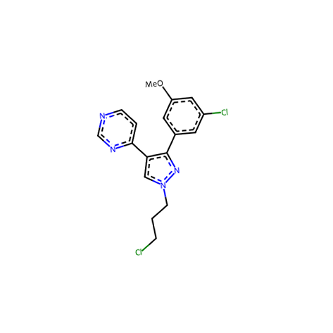 COc1cc(Cl)cc(-c2nn(CCCCl)cc2-c2ccncn2)c1